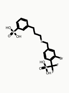 O=P(O)(O)c1cccc(CCCSCc2ccc(C(F)(F)P(=O)(O)O)c(Br)c2)c1